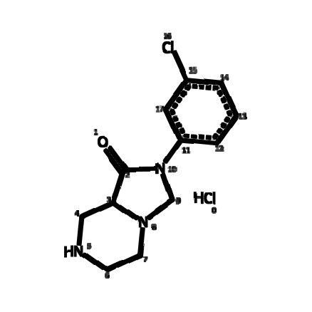 Cl.O=C1C2CNCCN2CN1c1cccc(Cl)c1